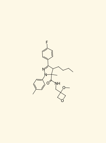 CCCCC1C(c2ccc(F)cc2)=NN(c2ccc(C)cc2)C1(C)C(=O)NCC1(OC)COC1